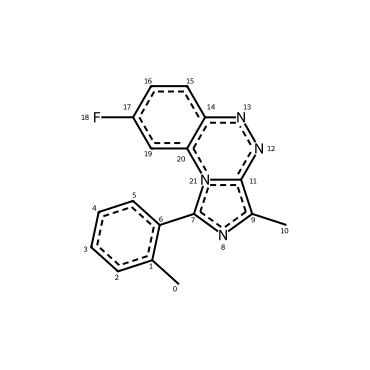 Cc1ccccc1-c1nc(C)c2nnc3ccc(F)cc3n12